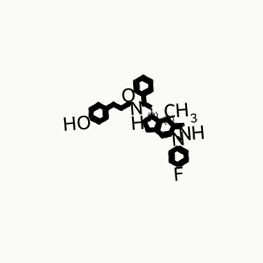 C[C@H]1C2=CNN(c3ccc(F)cc3)C2=CC2=C1[C@@H](CC(NC(=O)CCc1ccc(O)cc1)c1ccccc1)CC2